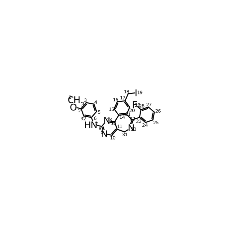 COc1cccc(Nc2ncc3c(n2)-c2ccc(CI)cc2C(c2ccccc2F)=NC3)c1